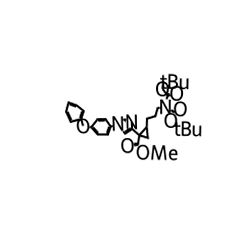 COC(=O)C1(c2cn(-c3ccc(Oc4ccccc4)cc3)cn2)CC1CCCN(C(=O)OC(C)(C)C)C(=O)OC(C)(C)C